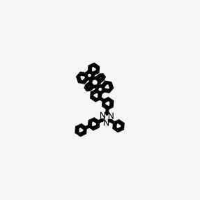 c1ccc(-c2ccc(-c3nc(-c4ccccc4)nc(-c4cccc(-c5cccc6c5-c5ccccc5C65c6ccccc6C6(c7ccccc7-c7ccccc76)c6ccccc65)c4)n3)cc2)cc1